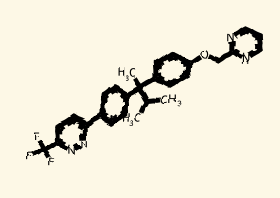 CC(C)C(C)(c1ccc(OCc2ncccn2)cc1)c1ccc(-c2ccc(C(F)(F)F)nn2)cc1